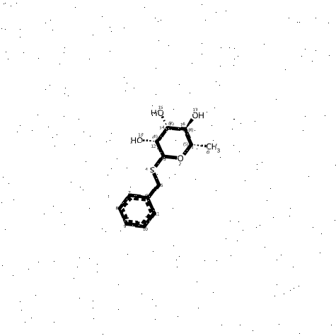 C[C@@H]1OC(SCc2ccccc2)[C@H](O)[C@H](O)[C@H]1O